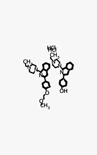 CCN1CCN(c2nc(-c3ccc(O)cc3)cc3ccccc23)CC1.CCN1CCN(c2nc(-c3ccc(OCCOC)cc3)cc3ccccc23)CC1.Cl.Cl